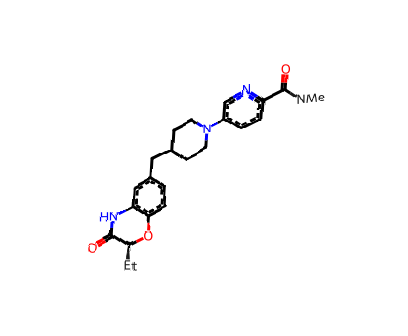 CC[C@@H]1Oc2ccc(CC3CCN(c4ccc(C(=O)NC)nc4)CC3)cc2NC1=O